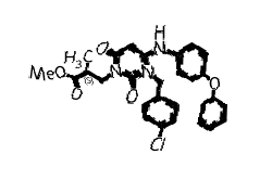 COC(=O)[C@@H](C)Cn1c(=O)cc(Nc2ccc(Oc3ccccc3)cc2)n(Cc2ccc(Cl)cc2)c1=O